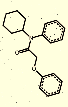 O=C(COc1ccccc1)N(c1ccccc1)C1CCCCC1